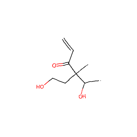 [CH2]C(O)C(C)(CCO)C(=O)C=C